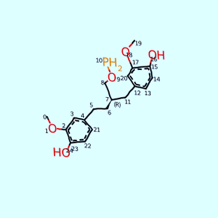 COc1cc(CC[C@@H](COP)Cc2ccc(O)c(OC)c2)ccc1O